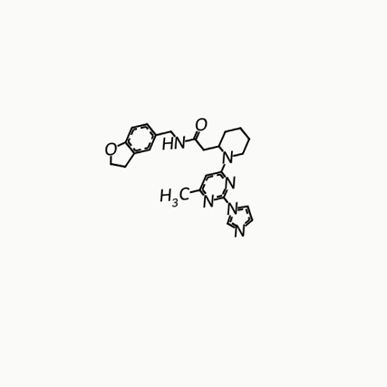 Cc1cc(N2CCCCC2CC(=O)NCc2ccc3c(c2)CCO3)nc(-n2ccnc2)n1